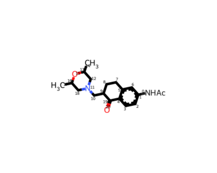 CC(=O)Nc1ccc2c(c1)CCC(CN1CC(C)OC(C)C1)C2=O